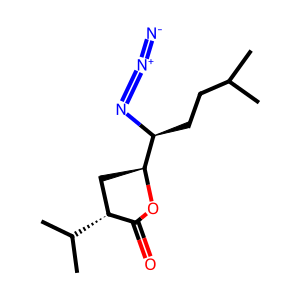 CC(C)CC[C@H](N=[N+]=[N-])[C@@H]1C[C@@H](C(C)C)C(=O)O1